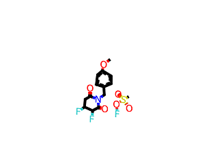 COc1ccc(CN2C(=O)CC(F)C(F)C2=O)cc1.CS(=O)(=O)OF